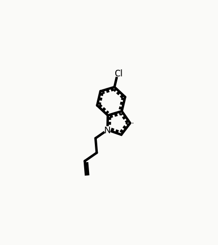 C=CCCn1c[c]c2cc(Cl)ccc21